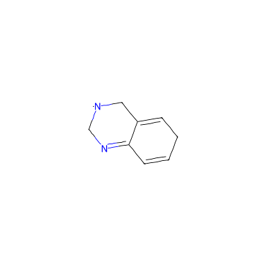 C1=CC2=NC[N]CC2=CC1